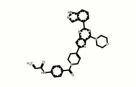 C=CC(=O)Nc1ccc(C(=O)N2CC=C(c3cc4nc(-c5cccc6[nH]ncc56)nc(N5CCOCC5)c4s3)CC2)cc1